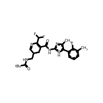 Cc1cccc(-c2[nH]c(NC(=O)C3=C(C(F)F)N=CC(CNC(=O)C(C)(C)C)C3)nc2C)c1F